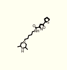 CC1CN(CCCCCNC(=O)c2cc(-c3cccs3)on2)CC(C)N1